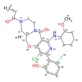 C=CC(=O)N1CCN2C(=O)c3c(NC4CCCCC4OC)nc(-c4c(O)cccc4F)c(Cl)c3OC[C@H]2C1